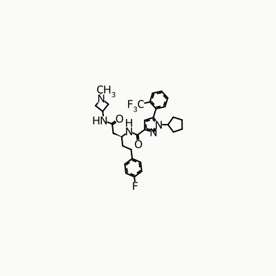 CN1CC(NC(=O)C[C@H](CCc2ccc(F)cc2)NC(=O)c2cc(-c3ccccc3C(F)(F)F)n(C3CCCC3)n2)C1